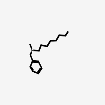 CCCCCCCCN(C)Cc1ccccc1